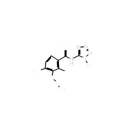 COSc1c(C)ccc(C(=O)Nc2nnnn2C)c1I